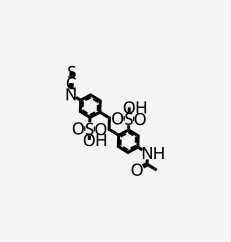 CC(=O)Nc1ccc(CCc2ccc(N=C=S)cc2S(=O)(=O)O)c(S(=O)(=O)O)c1